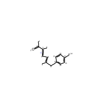 CC(=O)/C(C)=C/C=C(C)Cc1ccc(F)cc1